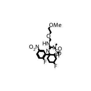 COCCOCNC1=NC2(c3cc([N+](=O)[O-])ccc3F)CCC(F)C[C@@H]2S(=O)(=O)N1C